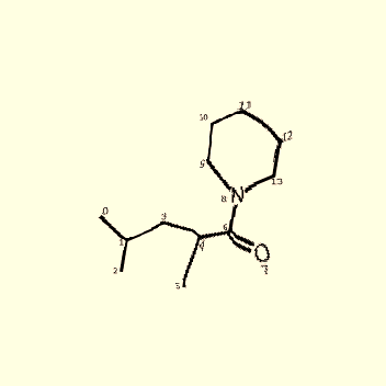 CC(C)CC(C)C(=O)N1CCCCC1